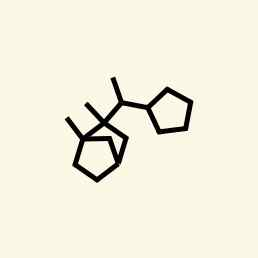 CC(C1CCCC1)C1(C)CC2CCC1(C)C2